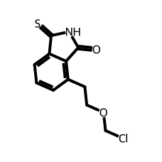 O=C1NC(=S)c2cccc(CCOCCl)c21